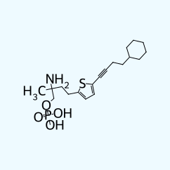 CC(N)(CCc1ccc(C#CCCC2CCCCC2)s1)COP(=O)(O)O